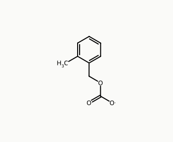 Cc1ccccc1COC([O])=O